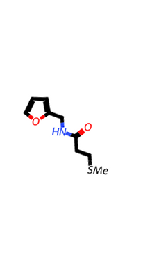 CSCCC(=O)NCc1ccco1